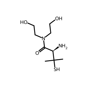 CC(C)(S)[C@H](N)C(=O)N(CCO)CCO